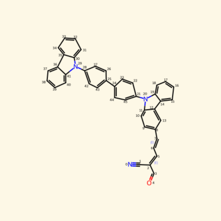 N#C/C(C=O)=C\C=C\c1ccc2c(c1)c1ccccc1n2-c1ccc(-c2ccc(-n3c4ccccc4c4ccccc43)cc2)cc1